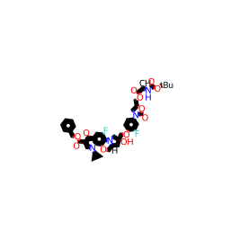 CC(NC(=O)OC(C)(C)C)C(=O)OCC1CN(c2ccc(OC[C@]3(O)C[C@H]4COc5c(c(F)cc6c(=O)c(C(=O)OCc7ccccc7)cn(C7CC7)c56)N4C3)c(F)c2)C(=O)O1